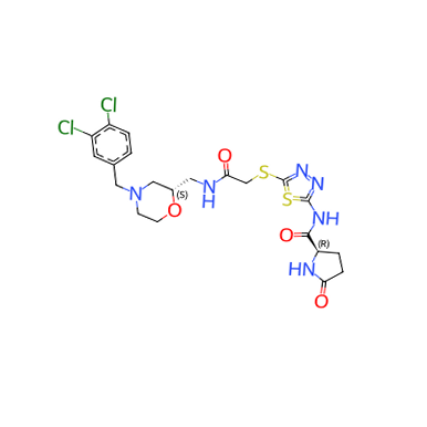 O=C(CSc1nnc(NC(=O)[C@H]2CCC(=O)N2)s1)NC[C@H]1CN(Cc2ccc(Cl)c(Cl)c2)CCO1